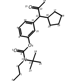 CCCN(C(=O)Oc1cccc(C(C(C)=O)C2CCCC2)c1)C(C)(C)C